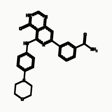 NC(=O)c1cccc(-c2cc3nc[nH]c(=O)c3c(Nc3ccc(N4CCOCC4)cc3)n2)c1